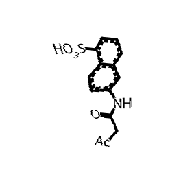 CC(=O)CC(=O)Nc1ccc2c(S(=O)(=O)O)cccc2c1